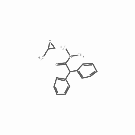 CC1CO1.CN(C)C(=O)C(c1ccccc1)c1ccccc1